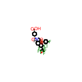 O=C(O)[C@H]1CC[C@H](C(=O)N2CC[C@@]3(S(=O)(=O)c4ccc(F)cc4)c4cc(Cl)c(C(F)(C(F)(F)F)C(F)(F)F)cc4CC[C@@H]23)CC1